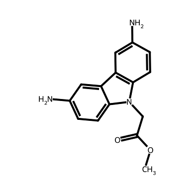 COC(=O)Cn1c2ccc(N)cc2c2cc(N)ccc21